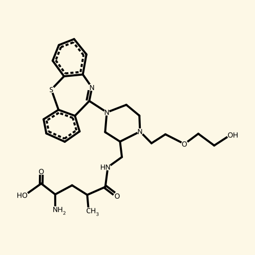 CC(CC(N)C(=O)O)C(=O)NCC1CN(C2=Nc3ccccc3Sc3ccccc32)CCN1CCOCCO